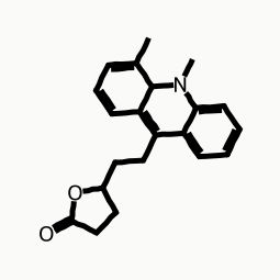 CC1=CC=CC2=C(CCC3CCC(=O)O3)c3ccccc3N(C)C12